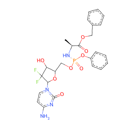 C[C@H](N[P@](=O)(OCC1OC(n2ccc(N)nc2=O)C(F)(F)C1O)Oc1ccccc1)C(=O)OCc1ccccc1